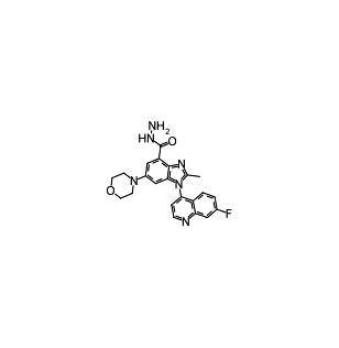 Cc1nc2c(C(=O)NN)cc(N3CCOCC3)cc2n1-c1ccnc2cc(F)ccc12